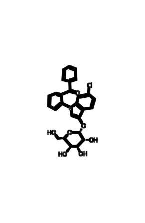 O=C(c1ccccc1)c1ccccc1-n1cc(O[C@H]2O[C@H](CO)[C@H](O)[C@H](O)[C@H]2O)c2ccc(Cl)cc21